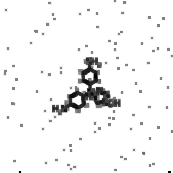 Cl.Nc1ccc(Nc2ccc(N)cc2)cc1.c1nnn[nH]1